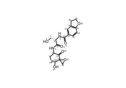 CC(C)CC(NC(=O)[C@H](CO)NC(=O)c1ccc2c(c1)CCO2)C(=O)C1(CO)CO1